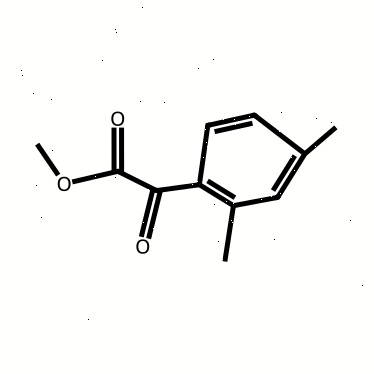 COC(=O)C(=O)c1ccc(C)cc1C